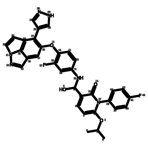 CC(C)Oc1ccc(C(O)Nc2ccc(Oc3cc4cnn5ccc(c3-c3cn[nH]c3)c45)c(F)c2)c(=O)n1-c1ccc(F)cc1